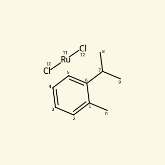 Cc1ccccc1C(C)C.[Cl][Ru][Cl]